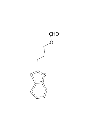 O=[C]OCCCc1cc2ccccc2s1